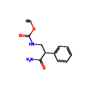 CC(C)(C)OC(=O)NCC(C(N)=O)c1ccccc1